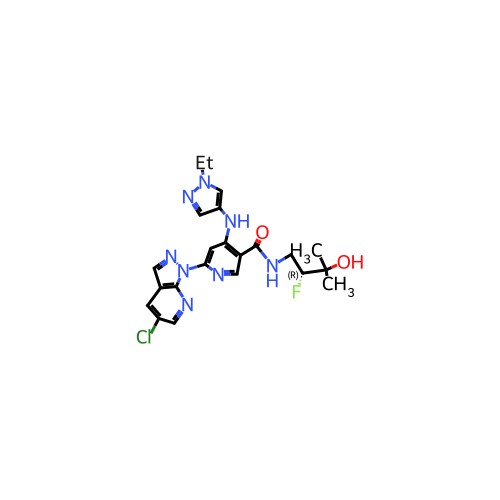 CCn1cc(Nc2cc(-n3ncc4cc(Cl)cnc43)ncc2C(=O)NC[C@@H](F)C(C)(C)O)cn1